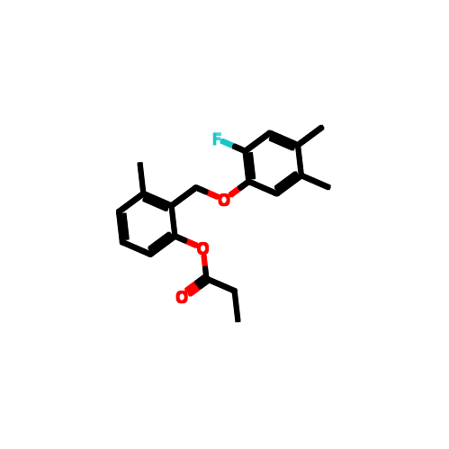 CCC(=O)Oc1cccc(C)c1COc1cc(C)c(C)cc1F